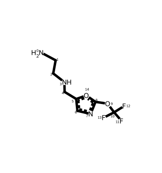 NCCNCc1cnc(OC(F)(F)F)o1